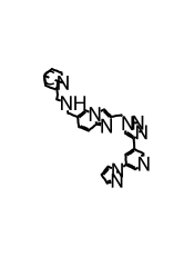 c1cnn(-c2cncc(-c3cn(Cc4cn5cc(CNCC6CC7CCN6CC7)ccc5n4)nn3)c2)c1